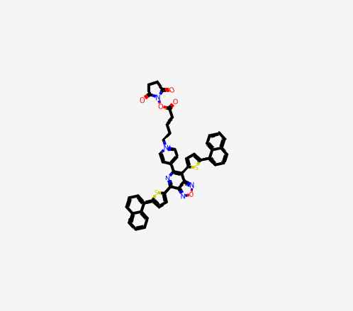 O=C(CCCC[n+]1ccc(-c2nc(-c3ccc(-c4cccc5ccccc45)s3)c3nonc3c2-c2ccc(-c3cccc4ccccc34)s2)cc1)ON1C(=O)CCC1=O